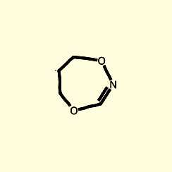 [CH]1COC=NOC1